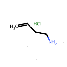 C=CCCN.Cl